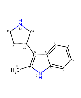 Cc1[nH]c2ccccc2c1C1CCNC1